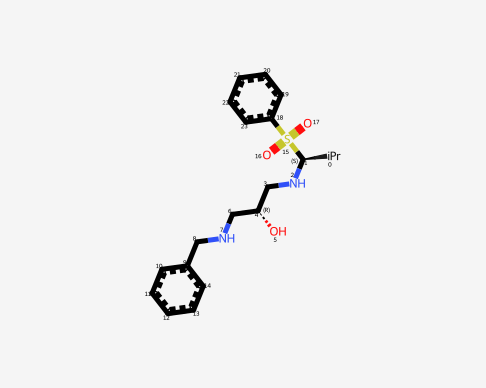 CC(C)[C@@H](NC[C@H](O)CNCc1ccccc1)S(=O)(=O)c1ccccc1